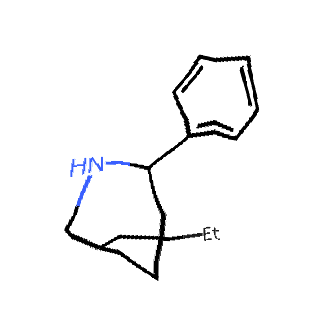 CCC12CC1CNC2c1ccccc1